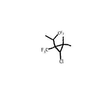 CC(C(F)(F)F)C1(C(F)(F)F)C(Cl)C1(C)C